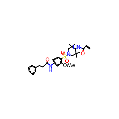 C=CC(=O)NC1C(C)(C)CN(S(=O)(=O)c2ccc(NC(=O)CCc3ccccc3)cc2OC)CC1(C)C